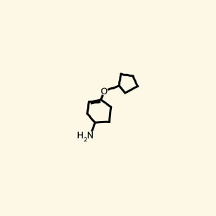 NC1CC=C(OC2CCCC2)CC1